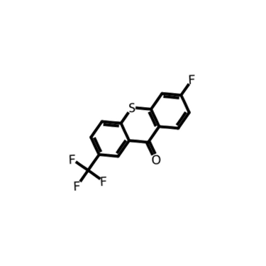 O=c1c2ccc(F)cc2sc2ccc(C(F)(F)F)cc12